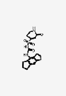 O=C1CC(S(=O)(=O)NC(=O)Nc2c3c(cc4c2CCC4)CCC3)CCN1